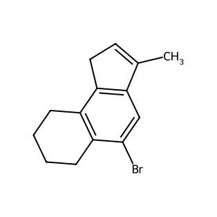 CC1=CCc2c1cc(Br)c1c2CCCC1